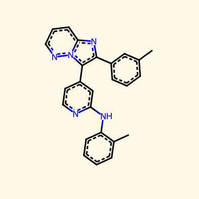 Cc1cccc(-c2nc3cccnn3c2-c2ccnc(Nc3ccccc3C)c2)c1